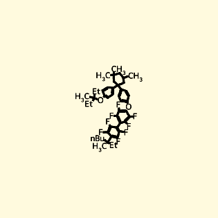 CCCCC(C)(CC)c1c(F)c(F)c(-c2c(F)c(F)c(Oc3ccc(C4(c5ccc(OC(C)(CC)CC)cc5)CC(C)CC(C)(C)C4)cc3)c(F)c2F)c(F)c1F